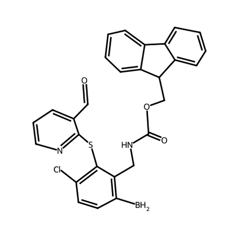 Bc1ccc(Cl)c(Sc2ncccc2C=O)c1CNC(=O)OCC1c2ccccc2-c2ccccc21